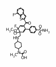 COC1(F)C=C(C(=O)c2cc3cccc(F)c3s2)C(c2ccc(S(N)(=O)=O)cc2)=CC1(Cl)CNC1CCC(N(C)C(=O)O)CC1